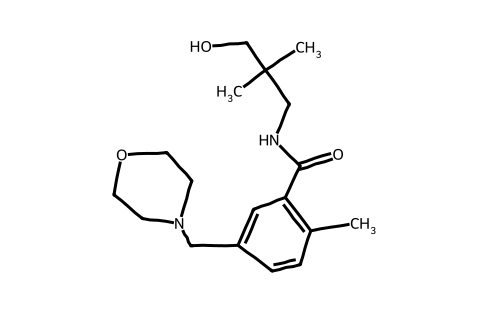 Cc1ccc(CN2CCOCC2)cc1C(=O)NCC(C)(C)CO